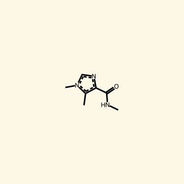 CNC(=O)c1ncn(C)c1C